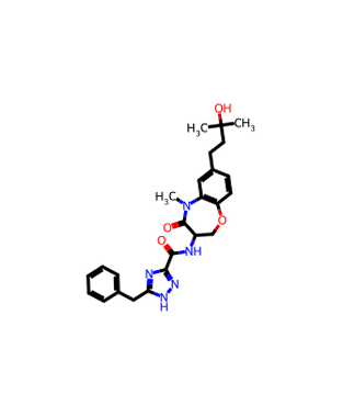 CN1C(=O)C(NC(=O)c2n[nH]c(Cc3ccccc3)n2)COc2ccc(CCC(C)(C)O)cc21